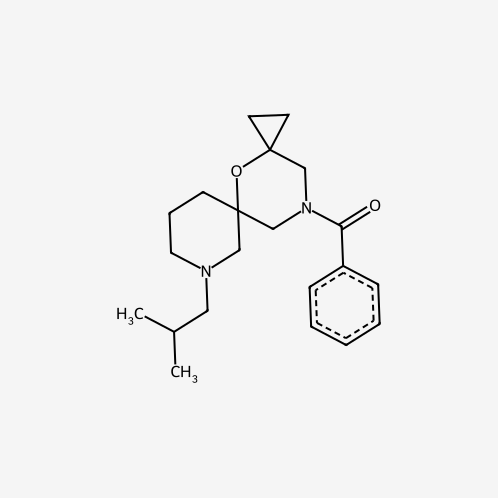 CC(C)CN1CCCC2(C1)CN(C(=O)c1ccccc1)CC1(CC1)O2